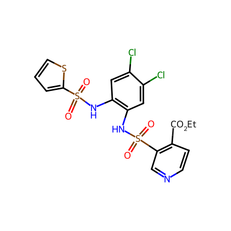 CCOC(=O)c1ccncc1S(=O)(=O)Nc1cc(Cl)c(Cl)cc1NS(=O)(=O)c1cccs1